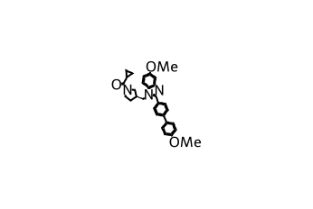 COc1ccc(-c2ccc(-c3nc4cc(OC)ccc4n3C[C@H]3CCN(C(=O)C4CC4)C3)cc2)cc1